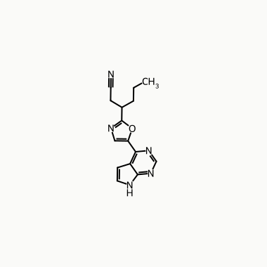 CCCC(CC#N)c1ncc(-c2ncnc3[nH]ccc23)o1